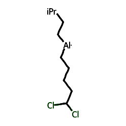 CC(C)C[CH2][Al][CH2]CCCC(Cl)Cl